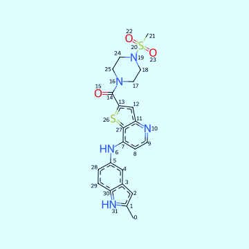 Cc1cc2cc(Nc3ccnc4cc(C(=O)N5CCN(S(C)(=O)=O)CC5)sc34)ccc2[nH]1